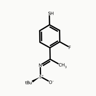 C/C(=N\[S@@+]([O-])C(C)(C)C)c1ccc(S)cc1F